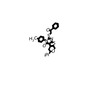 Cc1ccc(-n2c(SCC(=O)c3ccccc3)nc3sc4c(c3c2=O)CC(C(C)C)OC4)cc1